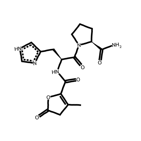 CC1=C(C(=O)N[C@@H](Cc2c[nH]cn2)C(=O)N2CCC[C@H]2C(N)=O)OC(=O)C1